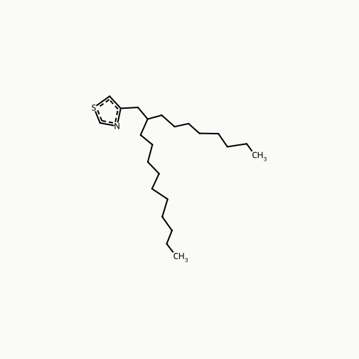 CCCCCCCCCCC(CCCCCCCC)Cc1cscn1